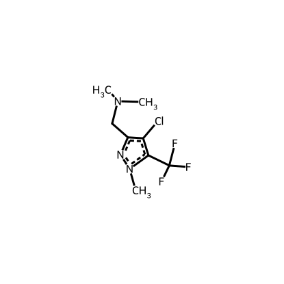 CN(C)Cc1nn(C)c(C(F)(F)F)c1Cl